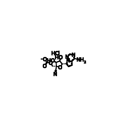 COC(=O)OC[C@@]1(C#N)O[C@@H](c2ccc3c(N)ncnn23)[C@H](O)[C@@H]1O.Cl